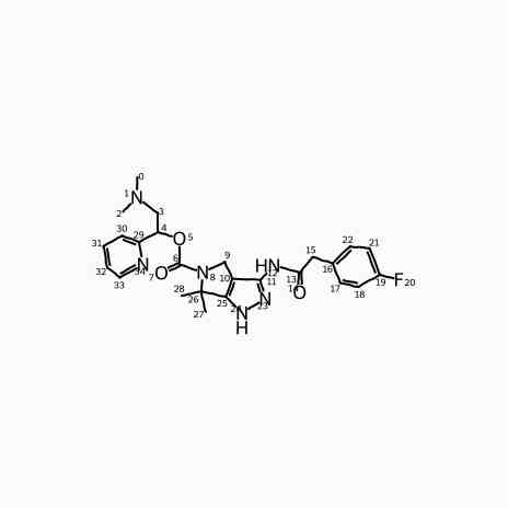 CN(C)CC(OC(=O)N1Cc2c(NC(=O)Cc3ccc(F)cc3)n[nH]c2C1(C)C)c1ccccn1